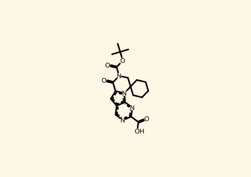 CC(C)(C)OC(=O)N1CC2(CCCCC2)n2c(cc3cnc(C(=O)O)nc32)C1=O